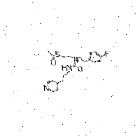 CC(=O)SCCN(CCc1ccc(F)cc1)C(=O)NCCCc1ccncc1